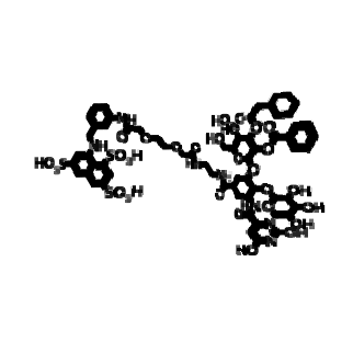 O=C(COCCOCC(=O)Nc1cccc(CNc2cc(S(=O)(=O)O)cc3cc(S(=O)(=O)O)cc(S(=O)(=O)O)c23)c1)NCCNC(=O)C1CC(NC(=O)c2cc(O)nc(O)n2)C(OC2OC=C(O)C(O)C2O)C(OC2OC(CO)C(O)C(O[C@@H](CC3CCCCC3)C(=O)O)C2OC(=O)c2ccccc2)C1